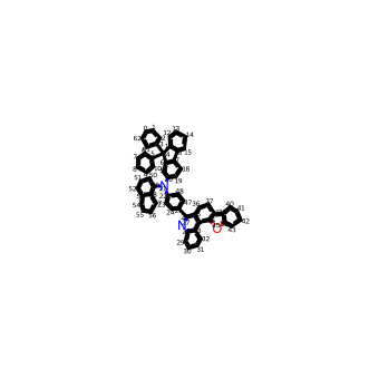 c1ccc(C2(c3ccccc3)c3ccccc3-c3ccc(N(c4ccc(-c5nc6ccccc6c6c5ccc5c7ccccc7oc56)cc4)c4cccc5ccccc45)cc32)cc1